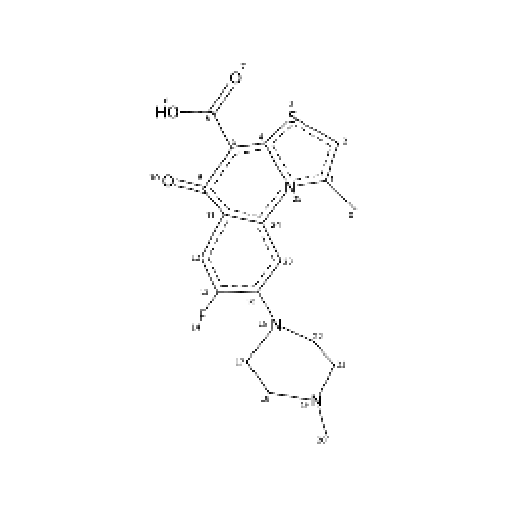 Cc1csc2c(C(=O)O)c(=O)c3cc(F)c(N4CCN(C)CC4)cc3n12